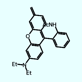 C=c1ccc2c(c1)Oc1cc(N(CC)CC)ccc1C=2c1ccccc1NC(C)=O